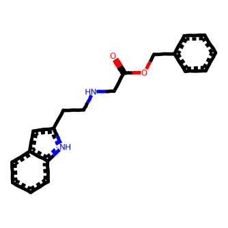 O=C(CNCCc1cc2ccccc2[nH]1)OCc1ccccc1